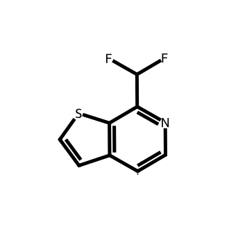 FC(F)c1nc[c]c2ccsc12